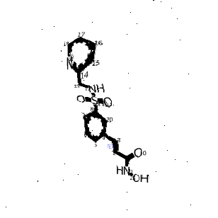 O=C(/C=C/c1cccc(S(=O)(=O)NCc2ccccn2)c1)NO